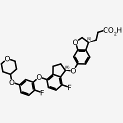 O=C(O)CC[C@@H]1COc2cc(O[C@@H]3CCc4c(Oc5cc(OC6CCOCC6)ccc5F)ccc(F)c43)ccc21